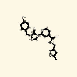 Cc1cc(CNC(=O)c2ccnc(-n3cnn(Cc4ccc(F)cc4)c3=O)c2)no1